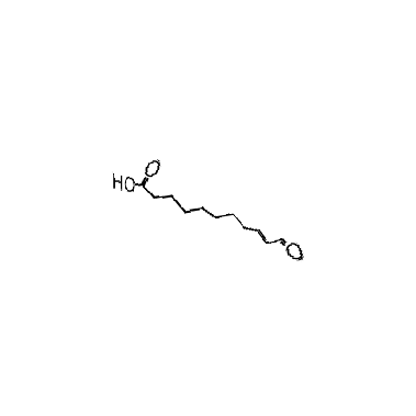 O=CC=CCCCCCCCC(=O)O